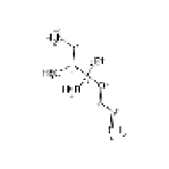 BC(CC)(OCC=C)C(C)CN